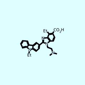 CCc1c(C(=O)O)ccc2c1nc(-c1ccc3c(c1)c1ccccc1n3CC)n2CCN(C)C